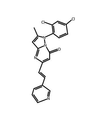 Cc1cc2nc(/C=C/c3cccnc3)cc(=O)n2n1-c1ccc(Cl)cc1Cl